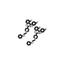 O=C(NC(c1ccc(F)cc1)c1ccccc1F)C1CCN(CCOc2ccccc2)CC1.O=C(NC(c1ccc(F)cc1)c1ccccc1F)C1CCN(CCOc2ccccc2)CC1